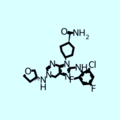 NC(=O)[C@H]1CC[C@H](n2c(Nc3c(F)cc(F)cc3Cl)nc3c2N=CN(N[C@@H]2CCOC2)C3)CC1